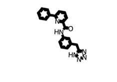 O=C(Nc1cccc(Cc2nnn[nH]2)c1)c1cccc(-c2ccccc2)n1